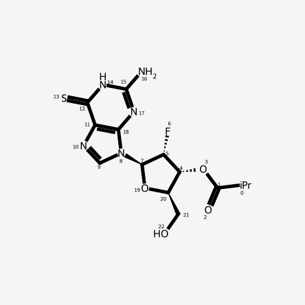 CC(C)C(=O)O[C@H]1[C@@H](F)[C@H](n2cnc3c(=S)[nH]c(N)nc32)O[C@@H]1CO